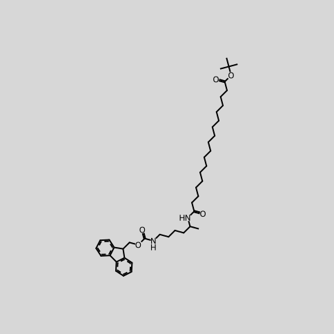 CC(CCCCNC(=O)OCC1c2ccccc2-c2ccccc21)NC(=O)CCCCCCCCCCCCCCCCC(=O)OC(C)(C)C